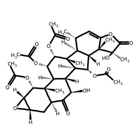 CC(=O)O[C@@H]1[C@H]2[C@H]3[C@H]([C@H](OC(C)=O)[C@H](OC(C)=O)[C@]2(C)[C@@H]2[C@@H]1[C@]1(C)C(=C[C@H]2C)OC(=O)[C@@]1(C)O)[C@]1(C)[C@H](C[C@@H]2O[C@@H]2[C@@H]1OC(C)=O)C(=O)[C@@H]3O